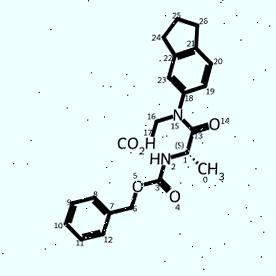 C[C@H](NC(=O)OCc1ccccc1)C(=O)N(CC(=O)O)c1ccc2c(c1)CCC2